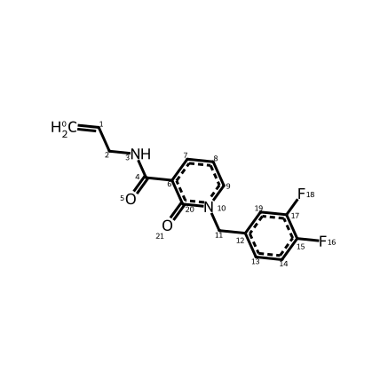 C=CCNC(=O)c1cccn(Cc2ccc(F)c(F)c2)c1=O